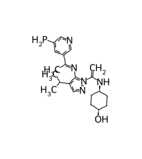 C=C(N[C@H]1CC[C@@H](O)CC1)n1ncc(C(C)C)c1/N=C(\C)c1cncc(P)c1